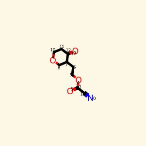 N#CC(=O)OCCC1COCCC1=O